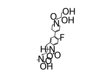 CN(C[C@@H]1OC(=O)N2c3cc(F)c(C4=CCN(C(=O)C(O)CO)CC4)cc3C[C@@H]12)C(=O)O